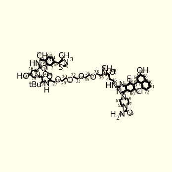 Cc1ncsc1-c1ccc([C@H](C)NC(=O)[C@@H]2C[C@@H](O)CN2C(=O)C(NC(=O)COCCOCCOCCOCCN(C)C(=O)CCNc2nc(N3CCN(C(N)=O)CC3)c3cc(Cl)c(-c4cc(O)cc5ccccc45)c(F)c3n2)C(C)(C)C)cc1